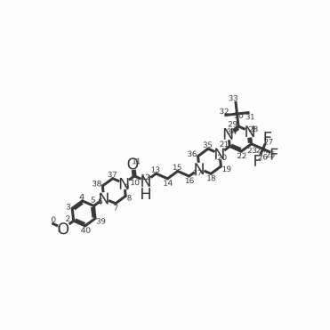 COc1ccc(N2CCN(C(=O)NCCCCN3CCN(c4cc(C(F)(F)F)nc(C(C)(C)C)n4)CC3)CC2)cc1